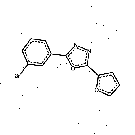 Brc1cccc(-c2nnc(-c3ccco3)o2)c1